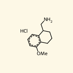 COc1cccc2c1CCCC2CN.Cl